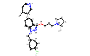 Cc1ccncc1-c1ccc2c(c1)c(OCCCN1CCC[C@@H]1C)nn2Cc1ccc(Cl)cc1